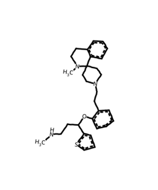 CNCCC(Oc1ccccc1CCN1CCC2(CC1)c1ccccc1CCN2C)c1cccs1